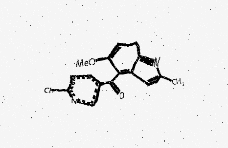 COC1=CCC2=NC(C)=[C]C2=C1C(=O)c1ccc(Cl)nc1